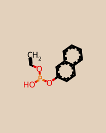 C=COP(O)Oc1ccc2ccccc2c1